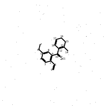 C=Cc1ccc(CC)cc1C(=S)C1=C(C)CCC=C1